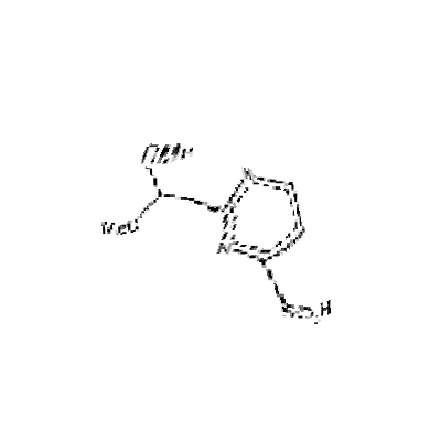 COC(OC)c1nccc(S(=O)(=O)O)n1